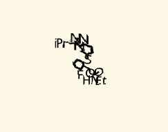 CCNC(=O)OCc1c(F)cccc1Sc1ccc2nnc(C(C)C)n2c1